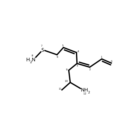 C=C/C=C(\C=C/CSN)CC(C)N